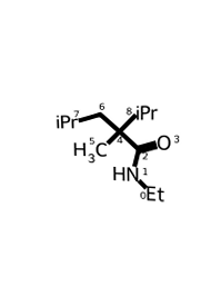 CCNC(=O)C(C)(CC(C)C)C(C)C